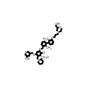 Cc1c(COc2cc(OCc3cncc(C#N)c3)c(CN3CCCCC3C(=O)O)cc2Cl)cccc1-c1cccc(OCCCN2CCOC(CO)C2)c1C